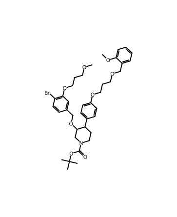 COCCCOc1cc(COC2CN(C(=O)OC(C)(C)C)CCC2c2ccc(OCCCOCc3ccccc3OC)cc2)ccc1Br